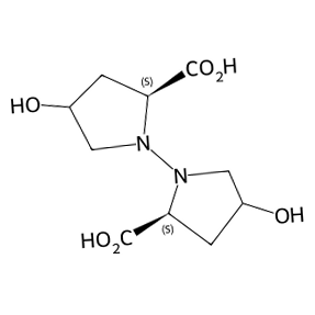 O=C(O)[C@@H]1CC(O)CN1N1CC(O)C[C@H]1C(=O)O